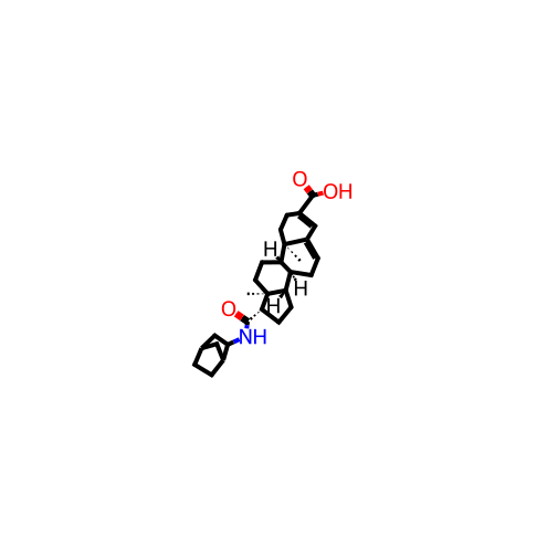 C[C@]12CC[C@H]3[C@@H](CC=C4C=C(C(=O)O)CC[C@@]43C)[C@@H]1CC[C@@H]2C(=O)NC1CC2CCC1C2